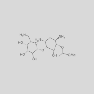 COC(C)OC1C(O)[C@H](O[C@H]2OC(CN)[C@@H](O)C(O)C2O)C(N)C[C@H]1N